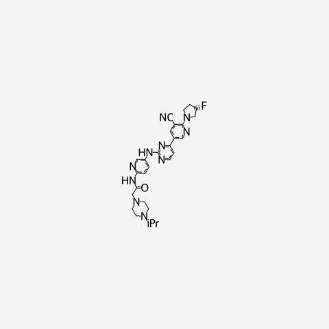 CC(C)N1CCN(CC(=O)Nc2ccc(Nc3nccc(-c4cnc(N5CC[C@H](F)C5)c(C#N)c4)n3)cn2)CC1